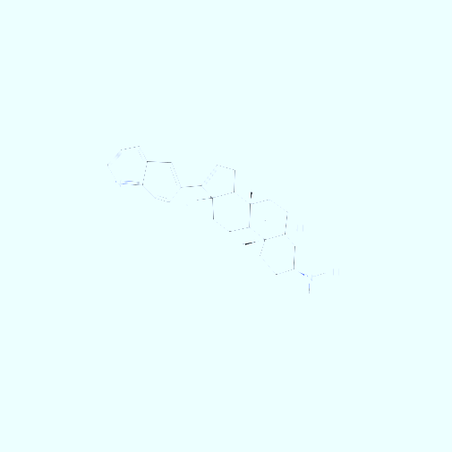 CN(C)[C@H]1CC[C@H]2[C@@H](CC[C@@H]3[C@@H]2CCC2(C)C(c4ccc5ncccc5c4)=CC[C@@H]32)C1